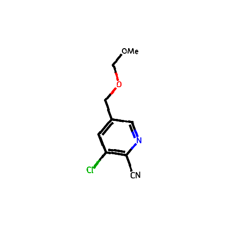 COCOCc1cnc(C#N)c(Cl)c1